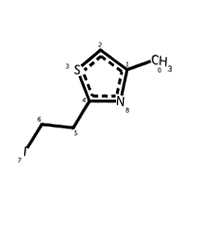 Cc1csc(CCI)n1